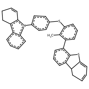 Cc1c(Sc2ccc(-n3c4c(c5ccccc53)CCC=C4)cc2)cccc1-c1cccc2c1SC1=CC=CCC12